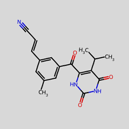 Cc1cc(/C=C/C#N)cc(C(=O)c2[nH]c(=O)[nH]c(=O)c2C(C)C)c1